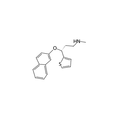 CNCC[C@@H](Oc1ccc2ccccc2c1)c1cccs1